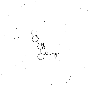 CCc1ccc(-c2noc(-c3ccccc3OCCN(C)C)n2)cc1